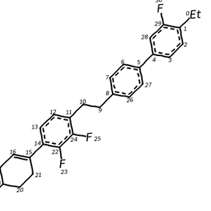 CCc1ccc(-c2ccc(CCc3ccc(C4=CCC(C)CC4)c(F)c3F)cc2)cc1F